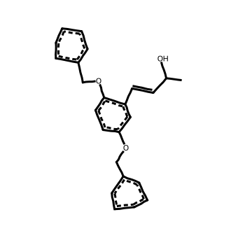 CC(O)/C=C/c1cc(OCc2ccccc2)ccc1OCc1ccccc1